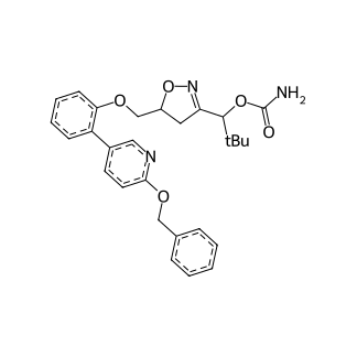 CC(C)(C)C(OC(N)=O)C1=NOC(COc2ccccc2-c2ccc(OCc3ccccc3)nc2)C1